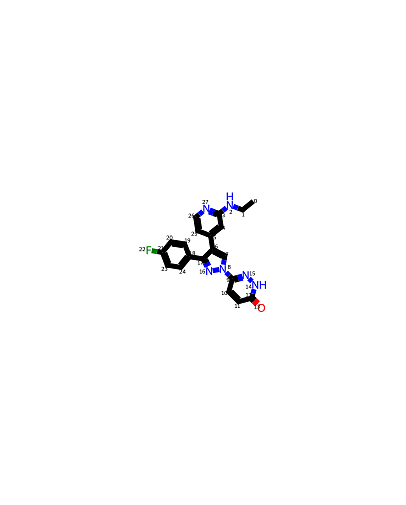 CCNc1cc(-c2cn(-c3ccc(=O)[nH]n3)nc2-c2ccc(F)cc2)ccn1